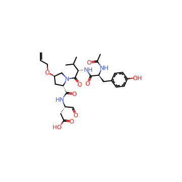 C=CCO[C@@H]1C[C@@H](C(=O)N[C@H](C=O)CC(=O)O)N(C(=O)[C@@H](NC(=O)[C@H](Cc2ccc(O)cc2)NC(C)=O)C(C)C)C1